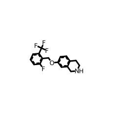 Fc1cccc(C(F)(F)F)c1COc1ccc2c(c1)CNCC2